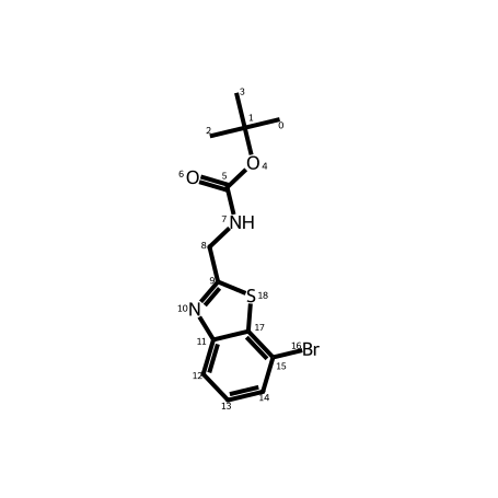 CC(C)(C)OC(=O)NCc1nc2cccc(Br)c2s1